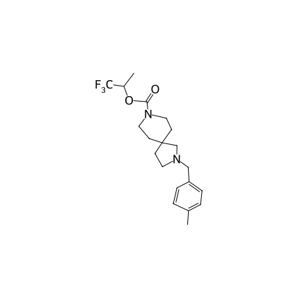 Cc1ccc(CN2CCC3(CCN(C(=O)OC(C)C(F)(F)F)CC3)C2)cc1